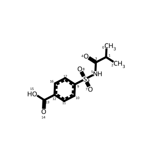 CC(C)C(=O)NS(=O)(=O)c1ccc(C(=O)O)cc1